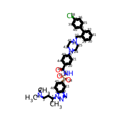 C[C@@H](CCN(C)C)n1nnc2cc(S(=O)(=O)NC(=O)c3ccc(N4CCN(Cc5ccccc5-c5ccc(Cl)cc5)CC4)cc3)ccc21